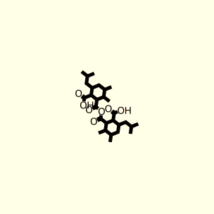 CC(C)CC1CC(C)C(C)C(C(=O)OC(=O)C2C(C)C(C)CC(CC(C)C)C2C(=O)O)C1C(=O)O